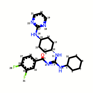 O=C(/N=C(/NC1CCCCC1)N[C@H]1CC[C@H](Nc2ncccn2)CC1)c1ccc(F)c(F)c1